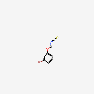 S=C=NCOc1cccc(Br)c1